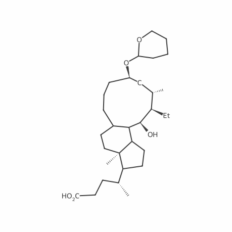 CC[C@@H]1[C@@H](C)C[C@H](OC2CCCCO2)CCCC2CC[C@@]3(C)C(CCC3[C@H](C)CCC(=O)O)C2[C@@H]1O